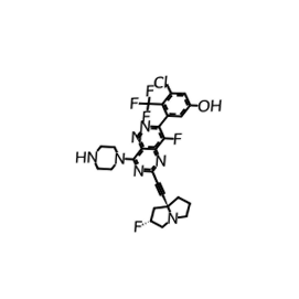 Oc1cc(Cl)c(C(F)(F)F)c(-c2nnc3c(N4CCNCC4)nc(C#C[C@@]45CCCN4C[C@H](F)C5)nc3c2F)c1